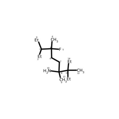 CCC(CC)C(C)(F)CCC(C)(N)C(C)(CC)CC